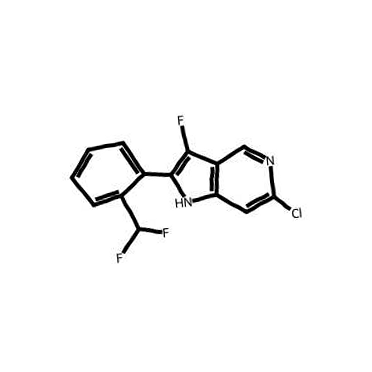 Fc1c(-c2ccccc2C(F)F)[nH]c2cc(Cl)ncc12